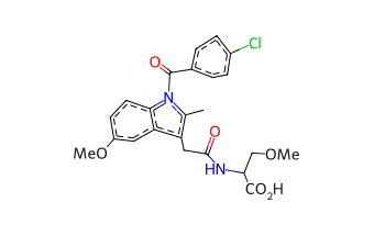 COCC(NC(=O)Cc1c(C)n(C(=O)c2ccc(Cl)cc2)c2ccc(OC)cc12)C(=O)O